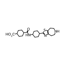 O=C(O)C1CCC(C(=O)NC2CCC(c3nc4c(s3)CCNCC4)CC2)CC1